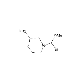 CCC(OC)N1CCCC(O)C1